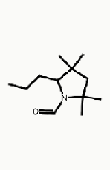 CCCC1N(C=O)C(C)(C)CC1(C)C